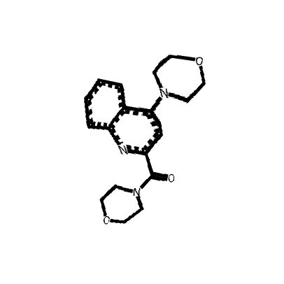 O=C(c1cc(N2CCOCC2)c2ccccc2n1)N1CCOCC1